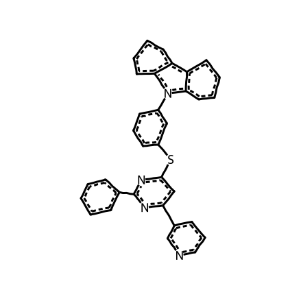 c1ccc(-c2nc(Sc3cccc(-n4c5ccccc5c5ccccc54)c3)cc(-c3cccnc3)n2)cc1